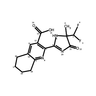 CC1(C(F)F)NC(c2nc3c(cc2C(=O)O)CCCC3)=NC1=O